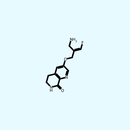 NC/C(=C\F)COc1cnc2c(c1)CCNC2=O